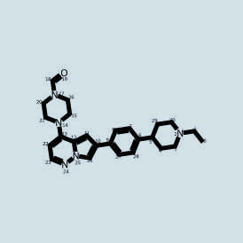 CCN1CCC(c2ccc(-c3cc4c(N5CCN(C=O)CC5)ccnn4c3)cc2)CC1